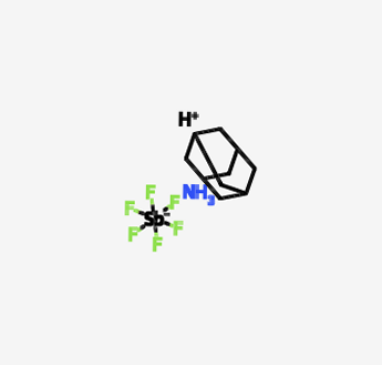 C1C2CC3CC1CC(C2)C3.N.[F][Sb-]([F])([F])([F])([F])[F].[H+]